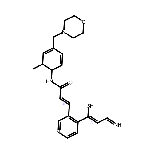 CC1C=C(CN2CCOCC2)C=CC1NC(=O)/C=C/c1cnccc1/C(S)=C/C=N